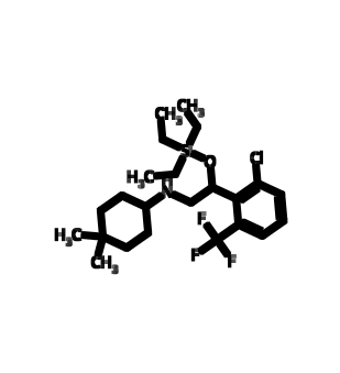 CC[Si](CC)(CC)OC(CNC1CCC(C)(C)CC1)c1c(Cl)cccc1C(F)(F)F